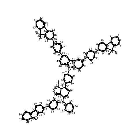 CC1(C)c2ccccc2-c2ccc(-c3ccc(-c4ccc5c(c4)c4cc(-c6ccc(-c7ccc8c(c7)C(C)(C)c7ccccc7-8)cc6)ccc4n5-c4ccc(C5=CC=C(N(c6ccccc6)c6ccc(-c7ccc8c(c7)oc7ccccc78)cc6)C6=NSNC56)cc4)cc3)cc21